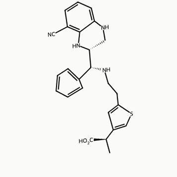 C[C@@H](C(=O)O)c1csc(CCN[C@H](c2ccccc2)[C@H]2CNc3cccc(C#N)c3N2)c1